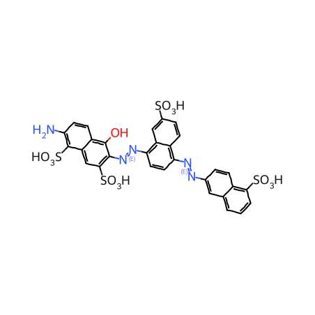 Nc1ccc2c(O)c(/N=N/c3ccc(/N=N/c4ccc5c(S(=O)(=O)O)cccc5c4)c4ccc(S(=O)(=O)O)cc34)c(S(=O)(=O)O)cc2c1S(=O)(=O)O